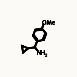 COc1ccc(C(N)C2CC2)cc1